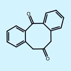 O=C1Cc2ccccc2C(=O)c2ccccc2C1